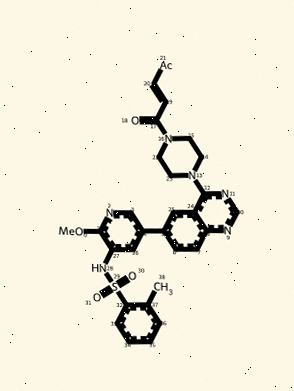 COc1ncc(-c2ccc3ncnc(N4CCN(C(=O)/C=C/C(C)=O)CC4)c3c2)cc1NS(=O)(=O)c1ccccc1C